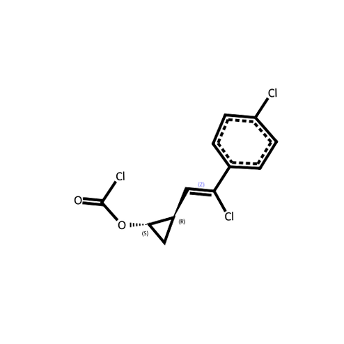 O=C(Cl)O[C@H]1C[C@@H]1/C=C(\Cl)c1ccc(Cl)cc1